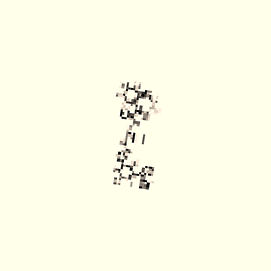 O=C(CCNCCOc1cccc([N+](=O)[O-])c1)N1CCCSc2ccccc21